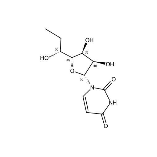 CC[C@@H](O)[C@H]1O[C@@H](n2ccc(=O)[nH]c2=O)[C@H](O)[C@@H]1O